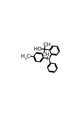 Cc1ccc(N(c2ccccc2)c2ccccc2C(C)(C)O)cc1